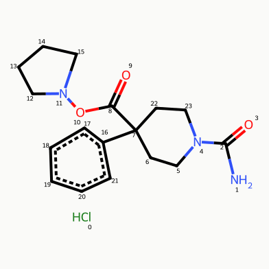 Cl.NC(=O)N1CCC(C(=O)ON2CCCC2)(c2ccccc2)CC1